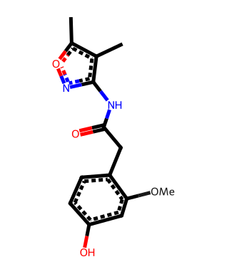 COc1cc(O)ccc1CC(=O)Nc1noc(C)c1C